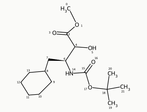 COC(=O)C(O)[C@H](CC1CCCCC1)NC(=O)OC(C)(C)C